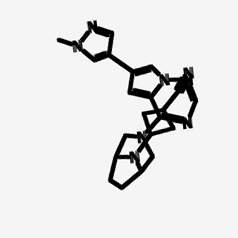 Cn1cc(-c2cc3c(N4CC5CCC(C4)N5C4CC(C#N)C4)ncnn3c2)cn1